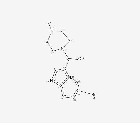 CN1CCN(C(=O)c2cnc3ccc(Br)cn23)CC1